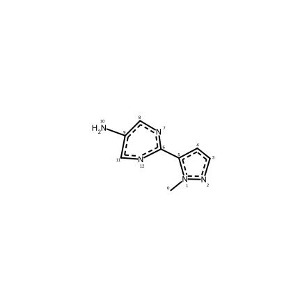 Cn1nccc1-c1ncc(N)cn1